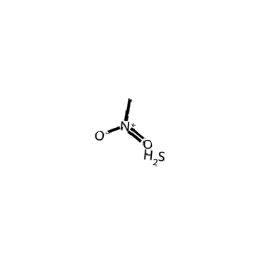 C[N+](=O)[O-].S